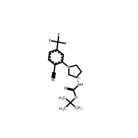 CC(C)(C)OC(=O)N[C@H]1CCN(c2cc(C(F)(F)F)ccc2C#N)C1